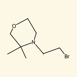 CC1(C)COCCN1[CH]CBr